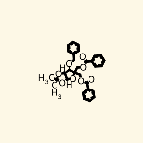 CC1(C)O[C@H]2OC(COC(=O)c3ccccc3)(COC(=O)c3ccccc3)[C@H](OCc3ccccc3)[C@H]2O1